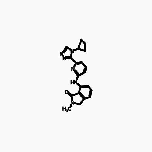 CN1Cc2cccc(Nc3cccc(-c4nncn4C4CCC4)n3)c2C1=O